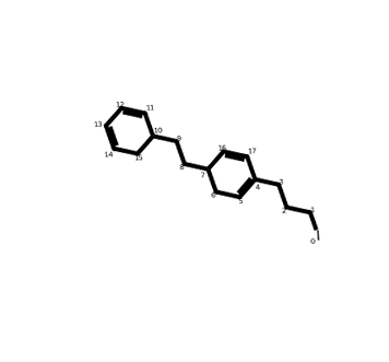 ICCCC1=CCC(CCC2C=CC=CC2)C=C1